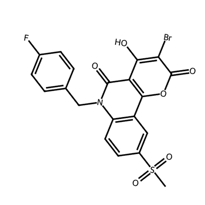 CS(=O)(=O)c1ccc2c(c1)c1oc(=O)c(Br)c(O)c1c(=O)n2Cc1ccc(F)cc1